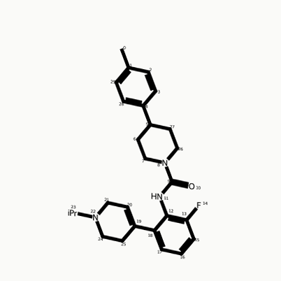 Cc1ccc(C2CCN(C(=O)Nc3c(F)cccc3C3=CCN(C(C)C)CC3)CC2)cc1